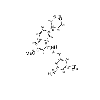 COc1nc(NCCc2cc(N)cc(C(F)(F)F)c2)c2cc(N3CCOCC3)ncc2n1